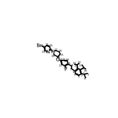 CC(C)c1ccc(CCc2ccc(OC3CCCN(c4ccc(Br)cn4)C3)cc2F)c(C(C)C)c1C(C)C